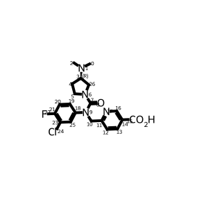 CN(C)[C@@H]1CCN(C(=O)N(Cc2ccc(C(=O)O)cn2)c2ccc(F)c(Cl)c2)C1